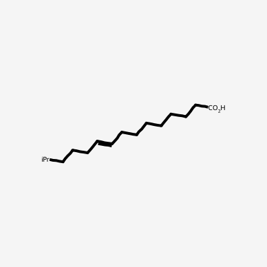 CC(C)CCC/C=C/CCCCCCCC(=O)O